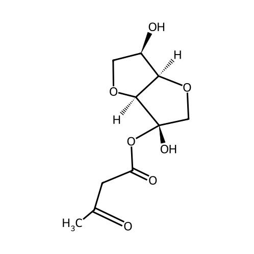 CC(=O)CC(=O)O[C@@]1(O)CO[C@@H]2[C@H](O)CO[C@@H]21